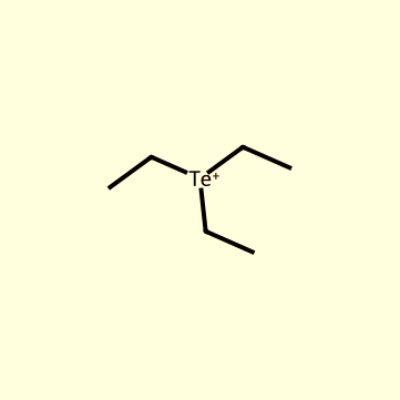 CC[Te+](CC)CC